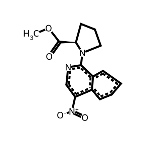 COC(=O)[C@H]1CCCN1c1ncc([N+](=O)[O-])c2ccccc12